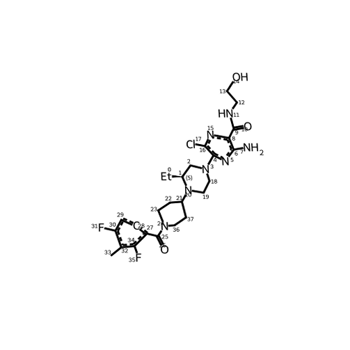 CC[C@H]1CN(c2nc(N)c(C(=O)NCCO)nc2Cl)CCN1C1CCN(C(=O)c2ccc(F)c(C)c2F)CC1